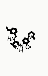 C=C1CCCN1c1ccc(Nc2cc(NCc3cccc(CC)c3)c(C)cn2)c(OC)c1